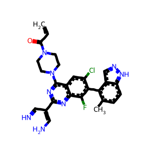 C=CC(=O)N1CCN(c2nc(/C(C=N)=C/N)nc3c(F)c(-c4c(C)ccc5[nH]ncc45)c(Cl)cc23)CC1